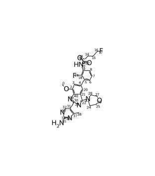 COc1cc(-c2cccc(NS(=O)(=O)CCCF)c2F)cc2c(N3CCOCC3)nc(-c3cnc(N)nc3C)nc12